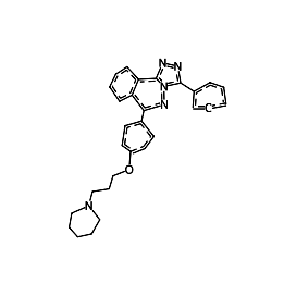 c1ccc(-c2nnc3c4ccccc4c(-c4ccc(OCCCN5CCCCC5)cc4)nn23)cc1